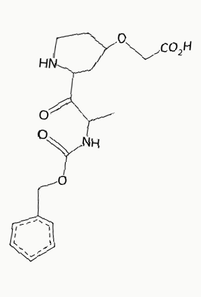 CC(NC(=O)OCc1ccccc1)C(=O)C1CC(OCC(=O)O)CCN1